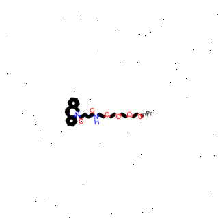 CCCOCCOCCOCCOCCNC(=O)CCC(=O)N1Cc2ccccc2C#Cc2ccccc21